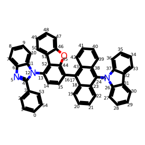 c1ccc(-c2nc3ccccc3n2-c2ccc(-c3c4ccccc4c(-n4c5ccccc5c5ccccc54)c4ccccc34)c3oc4ccccc4c23)cc1